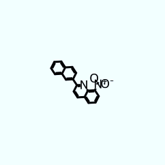 O=[N+]([O-])c1cccc2ccc(-c3ccc4ccccc4c3)nc12